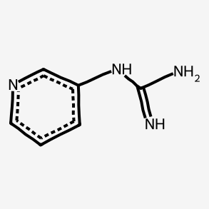 N=C(N)Nc1cccnc1